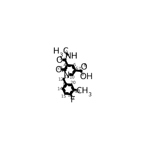 CNC(=O)c1cc(C(=O)O)cn(Cc2ccc(F)c(C)c2)c1=O